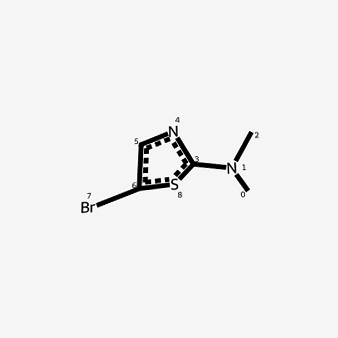 CN(C)c1ncc(Br)s1